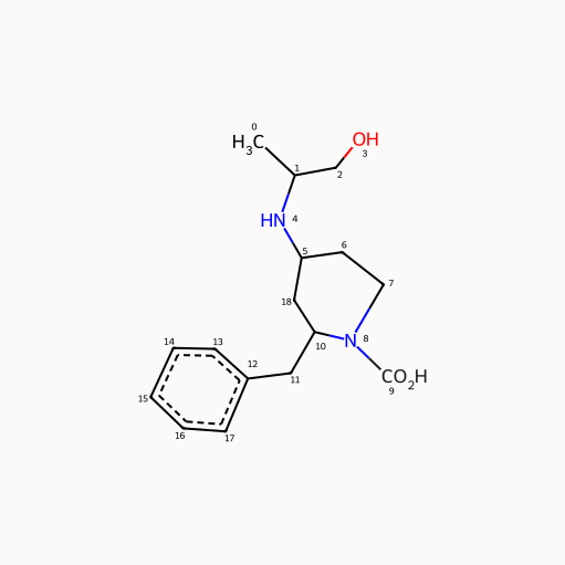 CC(CO)NC1CCN(C(=O)O)C(Cc2ccccc2)C1